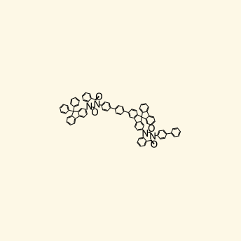 O=c1c2ccccc2n(-c2ccc3c(c2)C(c2ccccc2)(c2ccccc2)c2ccccc2-3)c(=O)n1-c1ccc(-c2ccc(-c3ccc4c(c3)-c3ccc(-n5c(=O)n(-c6ccc(-c7ccccc7)cc6)c(=O)c6ccccc65)cc3C43c4ccccc4-c4ccccc43)cc2)cc1